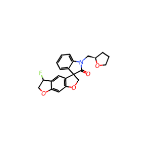 O=C1N(C[C@H]2CCCO2)c2ccccc2C12COc1cc3c(cc12)C(F)CO3